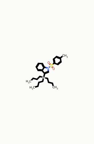 CCC[CH2][Sn]([CH2]CCC)([CH2]CCC)[c]1cn(S(=O)(=O)c2ccc(C)cc2)c2ccccc12